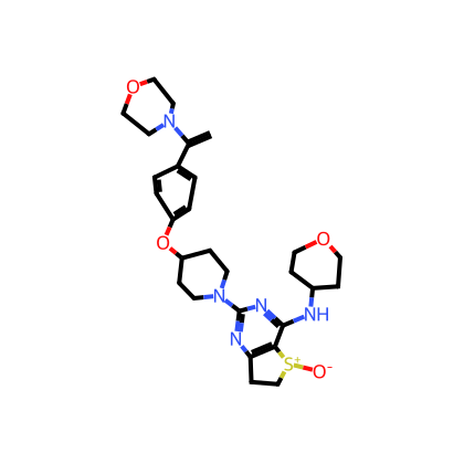 C=C(c1ccc(OC2CCN(c3nc4c(c(NC5CCOCC5)n3)[S+]([O-])CC4)CC2)cc1)N1CCOCC1